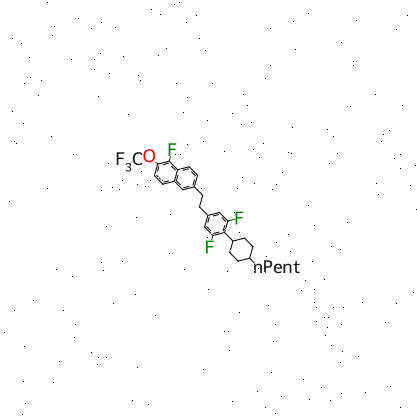 CCCCCC1CCC(c2c(F)cc(CCc3ccc4c(F)c(OC(F)(F)F)ccc4c3)cc2F)CC1